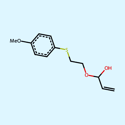 C=CC(O)OCCSc1ccc(OC)cc1